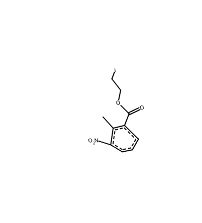 Cc1c(C(=O)OCCI)cccc1[N+](=O)[O-]